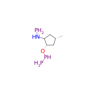 C[C@H]1CC(NP)[C@@H](OPP)C1